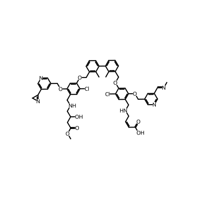 C/N=C/c1cncc(COc2cc(OCc3cccc(-c4cccc(COc5cc(OCc6cncc(C7=NC7)c6)c(CNCC(O)CC(=O)OC)cc5Cl)c4C)c3C)c(Cl)cc2CNC/C=C\C(=O)O)c1